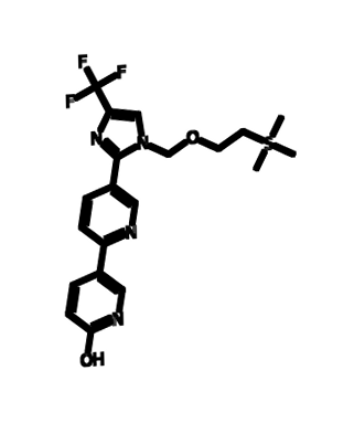 CS(C)(C)CCOCn1cc(C(F)(F)F)nc1-c1ccc(-c2ccc(O)nc2)nc1